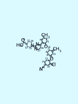 Cc1ccc(OCc2ccc(Oc3ccc(C#N)cc3Cl)cc2C)c(-c2ccnc(N3CCC(C(=O)O)CC3)n2)c1